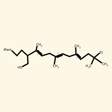 CCCC(C)CCC(CS)/C(C)=C/C/C(C)=C/C/C(C)=C/CC(C)(C)CC